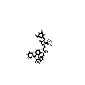 COC(=O)c1ccc(CN(C(=O)CCN2CCN(Cc3cc(C)cc(C)c3)C2=C(C#N)C#N)c2cccc(CN3CCCCC3)c2)o1